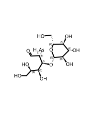 O=C[C@H]([AsH2])[C@@H](O[C@@H]1O[C@H](CO)[C@@H](O)[C@H](O)[C@H]1O)[C@@H](O)[C@H](O)CO